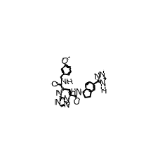 COc1cccc(CNC(=O)c2cc(C(=O)N[C@H]3CCc4cc(-c5nnc[nH]5)ccc43)n3ncnc3n2)c1